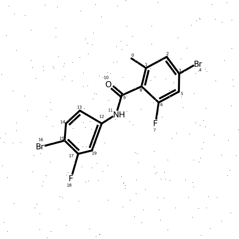 Cc1cc(Br)cc(F)c1C(=O)Nc1ccc(Br)c(F)c1